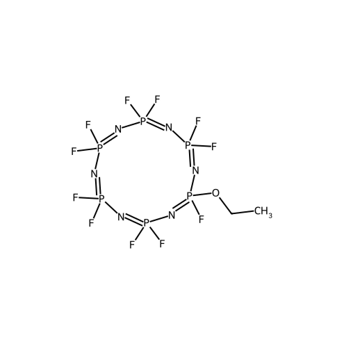 CCOP1(F)=NP(F)(F)=NP(F)(F)=NP(F)(F)=NP(F)(F)=NP(F)(F)=N1